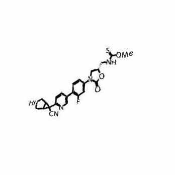 COC(=S)NC[C@H]1CN(c2ccc(-c3ccc(C4(C#N)C5CNCC54)nc3)c(F)c2)C(=O)O1